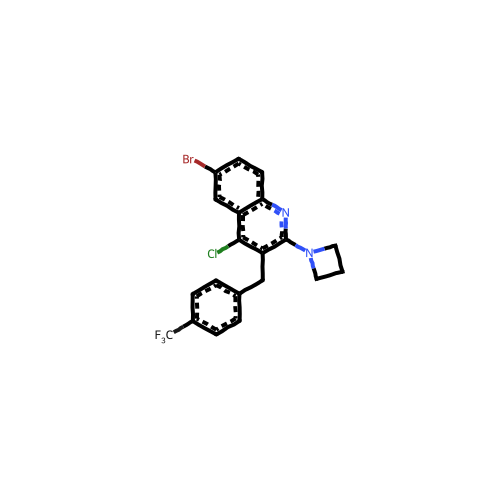 FC(F)(F)c1ccc(Cc2c(N3CCC3)nc3ccc(Br)cc3c2Cl)cc1